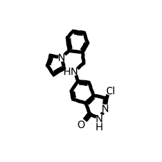 O=c1[nH]nc(Cl)c2cc(NCc3ccccc3-n3cccc3)ccc12